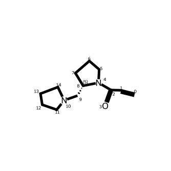 C=CC(=O)N1CCC[C@H]1CN1CCCC1